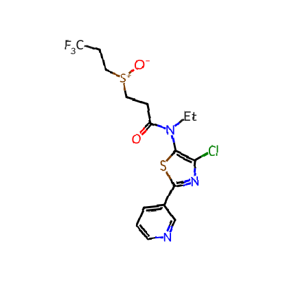 CCN(C(=O)CC[S+]([O-])CCC(F)(F)F)c1sc(-c2cccnc2)nc1Cl